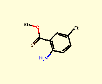 CCOC(=S)c1cc(CC)ccc1N